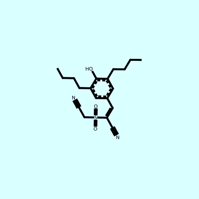 CCCCc1cc(C=C(C#N)S(=O)(=O)CC#N)cc(CCCC)c1O